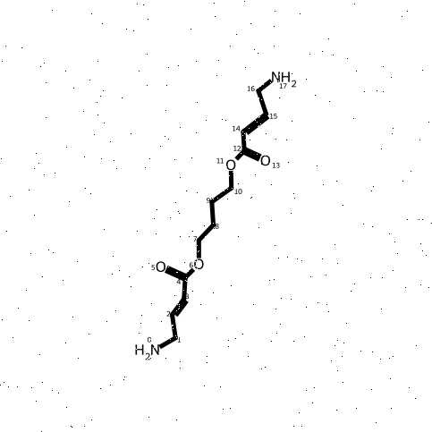 NC/C=C/C(=O)OCCCCOC(=O)/C=C/CN